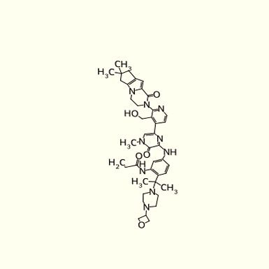 C=CC(=O)Nc1cc(Nc2nc(-c3ccnc(N4CCn5c(cc6c5CC(C)(C)C6)C4=O)c3CO)cn(C)c2=O)ccc1C(C)(C)N1CCN(C2COC2)CC1